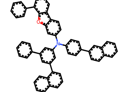 c1ccc(-c2cc(-c3cccc4ccccc34)cc(N(c3ccc(-c4ccc5ccccc5c4)cc3)c3ccc4c(c3)oc3c(-c5ccccc5)cccc34)c2)cc1